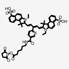 CCN1/C(=C/C=C(/C=C/C2=[N+](CC)c3ccc4c(S(=O)(=O)O)cccc4c3C2(C)C)c2ccc(C(=O)NCCCCCC(=O)ON3C(=O)CCC3=O)cn2)C(C)(C)c2c1ccc1c(S(=O)(=O)O)cccc21